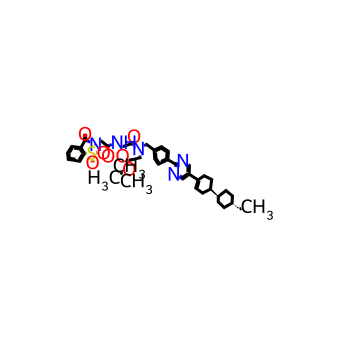 CC[C@H]1CC[C@H](C2CC=C(c3cnc(-c4ccc(CN(CC(=O)OC(C)(C)C)C(=O)CNC(=O)CN5C(=O)c6ccccc6S5(=O)=O)cc4)nc3)CC2)CC1